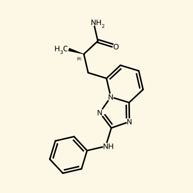 C[C@H](Cc1cccc2nc(Nc3ccccc3)nn12)C(N)=O